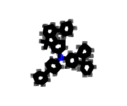 CC1(C)c2cc(N(c3ccc(-c4ccccc4)cc3)c3ccc(C4(c5ccccc5)CCCCC4)cc3)ccc2-c2c(-c3ccccc3)cccc21